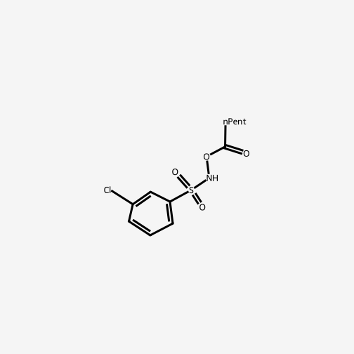 CCCCCC(=O)ONS(=O)(=O)c1cccc(Cl)c1